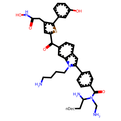 CCCCCCCCCCCC(N)N(CN)C(=O)c1ccc(-c2cc3ccc(C(=O)c4cc(CC(=O)NO)c(-c5cccc(O)c5)s4)cc3n2CCCCN)cc1